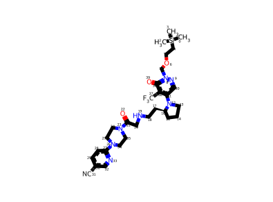 C[Si](C)(C)CCOCn1ncc(N2CCC[C@H]2CCNCC(=O)N2CCN(c3ccc(C#N)cn3)CC2)c(C(F)(F)F)c1=O